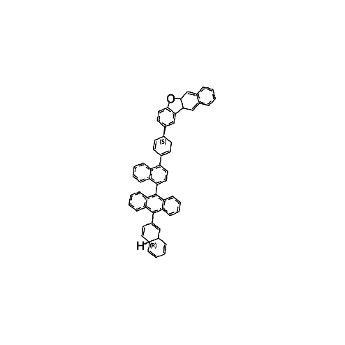 C1=CC2C=C(c3c4ccccc4c(-c4ccc(C5=CC[C@H](c6ccc7c(c6)C6C=c8ccccc8=CC6O7)C=C5)c5ccccc45)c4ccccc34)C=C[C@H]2C=C1